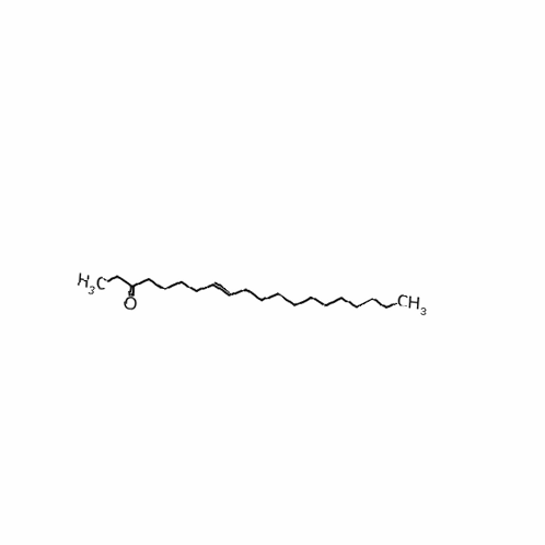 CCCCCCCCCCCC=CCCCCC(=O)CC